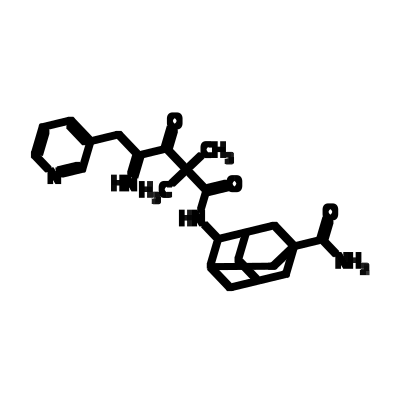 CC(C)(C(=O)NC1C2CC3CC1CC(C(N)=O)(C3)C2)C(=O)C(=N)Cc1cccnc1